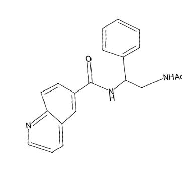 CC(=O)NCC(NC(=O)c1ccc2ncccc2c1)c1ccccc1